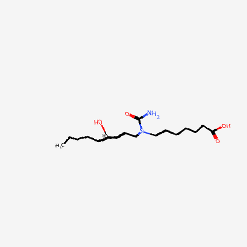 CCCCC[C@@H](O)CCCN(CCCCCCC(=O)O)C(N)=O